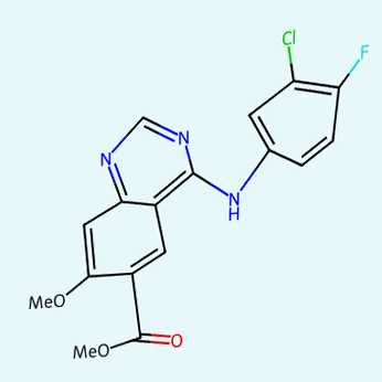 COC(=O)c1cc2c(Nc3ccc(F)c(Cl)c3)ncnc2cc1OC